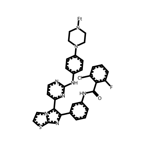 CCN1CCN(c2ccc(Nc3nccc(-c4c(-c5cccc(NC(=O)c6c(F)cccc6Cl)c5)nc5sccn45)n3)cc2)CC1